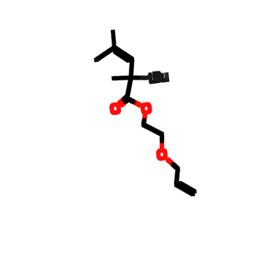 C=CCOCCOC(=O)C(C)(C=C(C)C)C(C)(C)C